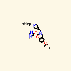 CCCCCCCN1CC2C(C1)C2CN(Cc1cccc(OC(F)(F)F)c1)C(=O)Oc1cn(C)cn1